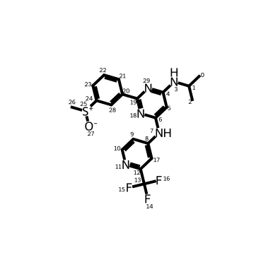 CC(C)Nc1cc(Nc2ccnc(C(F)(F)F)c2)nc(-c2cccc([S+](C)[O-])c2)n1